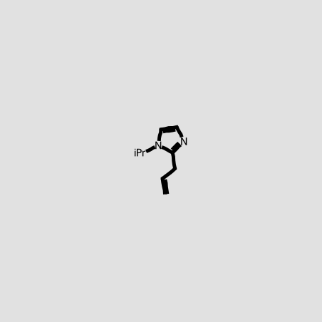 C=CCc1nccn1C(C)C